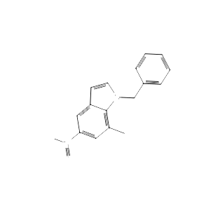 Cc1cc([N+](=O)[O-])cc2ccn(Cc3ccccc3)c12